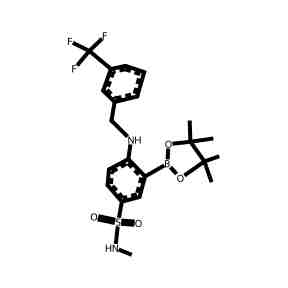 CNS(=O)(=O)c1ccc(NCc2cccc(C(F)(F)F)c2)c(B2OC(C)(C)C(C)(C)O2)c1